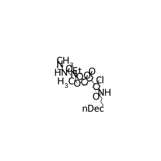 CCCCCCCCCCCCCC(=O)Nc1ccc(-c2cc(=O)oc3cc(OC(C)C(=O)N(CC)CC(=O)NC4CCN(C)C4)ccc23)c(Cl)c1